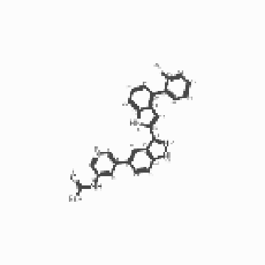 CCC(=O)Nc1cncc(-c2ccc3[nH]nc(-c4cc5c(-c6ccccc6F)cccc5[nH]4)c3c2)c1